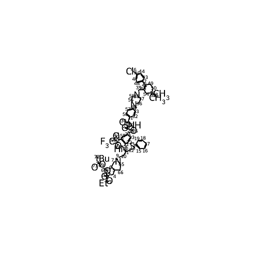 CCOP(=O)(CC1CCN(CCC(CSc2ccccc2)Nc2ccc(S(=O)(=O)NC(=O)c3ccc(N4CCN(CC5=C(c6ccc(Cl)cc6)CCC(C)(C)C5)CC4)cc3)cc2S(=O)(=O)C(F)(F)F)CC1)OCOC(=O)C(C)(C)C